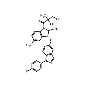 Cc1ccc2c(c1)[C@@H](Oc1ccc3c(cnn3-c3ccc(F)cc3)c1)[C@H](C)N2C(=O)C(C)(C)CO